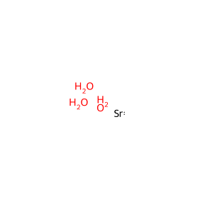 O.O.O.[Sr]